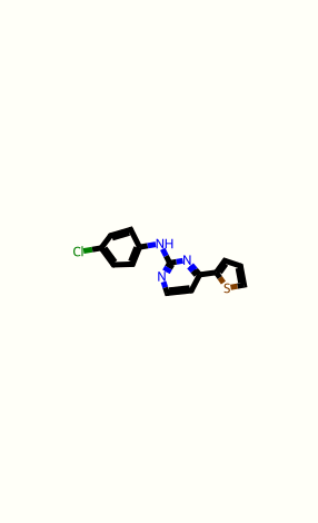 Clc1ccc(Nc2nccc(-c3cccs3)n2)cc1